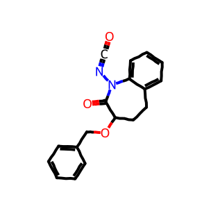 O=C=NN1C(=O)C(OCc2ccccc2)CCc2ccccc21